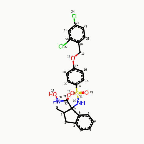 CC1Cc2ccccc2C1(NS(=O)(=O)c1ccc(OCc2ccc(Cl)cc2Cl)cc1)C(=O)NO